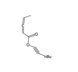 CC=C=CC(=O)OC#CCCCC